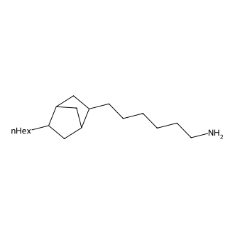 CCCCCCC1CC2CC1CC2CCCCCCN